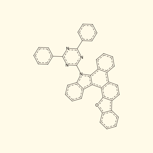 c1ccc(-c2nc(-c3ccccc3)nc(-n3c4ccccc4c4c5c(ccc6c7ccccc7oc65)c5ccccc5c43)n2)cc1